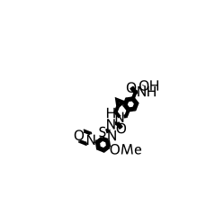 COc1ccc(N2CCOCC2)c2sc(NC(=O)N(Cc3ccc(C(=O)NO)cc3)CC3CC3)nc12